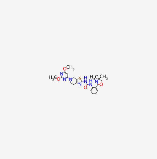 COc1cc(N2CCc3nc(NC(=O)Nc4ccccc4C4=NC(C)(C)CO4)sc3C2)nc(OC)n1